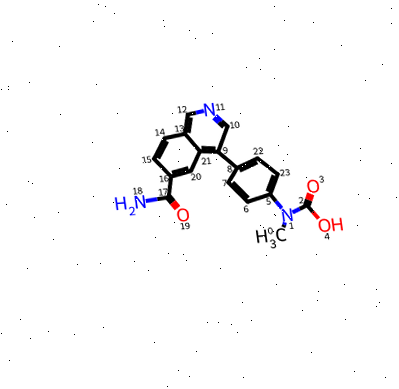 CN(C(=O)O)c1ccc(-c2cncc3ccc(C(N)=O)cc23)cc1